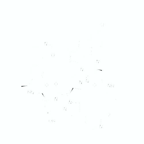 Cc1ncoc1-c1ccc([C@H](C)NC(=O)[C@@H]2C[C@@H](O)CN2C(=O)[C@@H](C(C)C)n2cc(-c3ccnc(O[C@H]4C[C@@H](NC(=O)C[C@@H]5N=C(c6ccc(Cl)cc6)c6c(sc(C)c6C)-n6c(C)nnc65)C4)c3)cn2)cc1